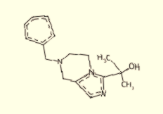 CC(C)(O)c1ncc2n1CCN(Cc1ccccc1)C2